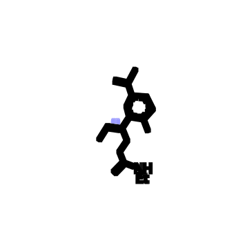 C=C(CC/C(=C\C)c1cc(C(=C)C)ccc1C)NCC